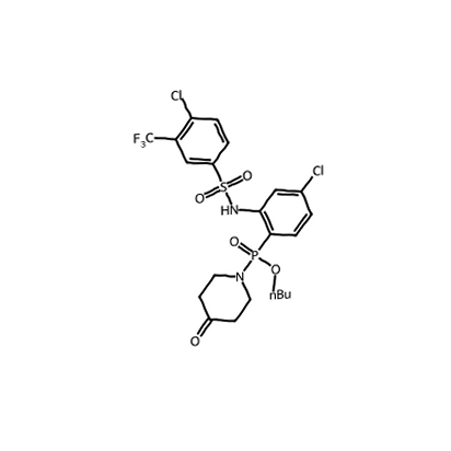 CCCCOP(=O)(c1ccc(Cl)cc1NS(=O)(=O)c1ccc(Cl)c(C(F)(F)F)c1)N1CCC(=O)CC1